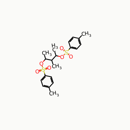 Cc1ccc(S(=O)(=O)OC(C)C(C)C(C)OS(=O)(=O)c2ccc(C)cc2)cc1